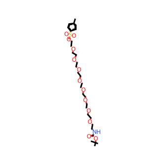 Cc1ccc(S(=O)(=O)OCCOCCOCCOCCOCCOCCOCCOCCOCCNC(=O)OC(C)(C)C)cc1